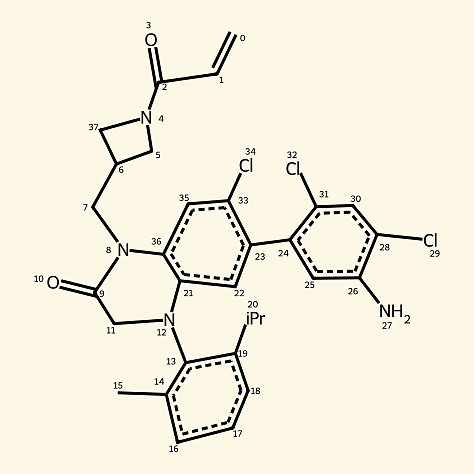 C=CC(=O)N1CC(CN2C(=O)CN(c3c(C)cccc3C(C)C)c3cc(-c4cc(N)c(Cl)cc4Cl)c(Cl)cc32)C1